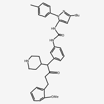 COc1ccccc1CCC(=O)C(c1cccc(NC(=O)Nc2cc(C(C)(C)C)nn2-c2ccc(C)cc2)c1)C1CCNCC1